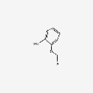 CSc1ccccc1OCBr